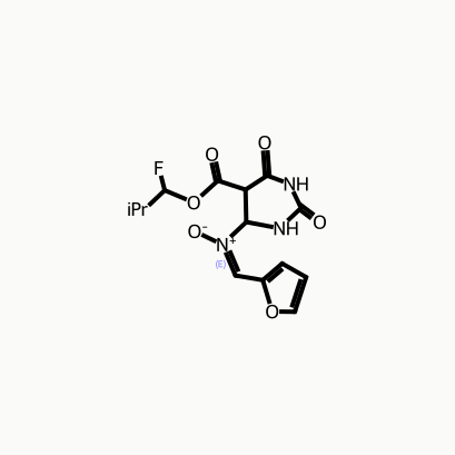 CC(C)C(F)OC(=O)C1C(=O)NC(=O)NC1/[N+]([O-])=C\c1ccco1